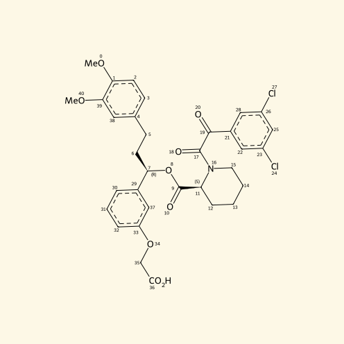 COc1ccc(CC[C@@H](OC(=O)[C@@H]2CCCCN2C(=O)C(=O)c2cc(Cl)cc(Cl)c2)c2cccc(OCC(=O)O)c2)cc1OC